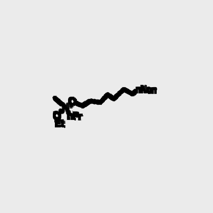 CCCCCCCCCCCCCCCCO[N+](C)(CCC)OCC